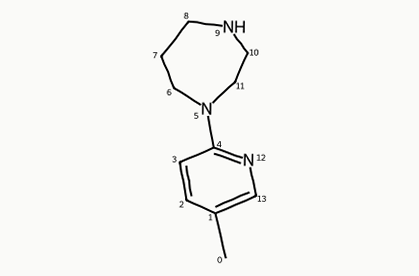 Cc1ccc(N2CCCNCC2)nc1